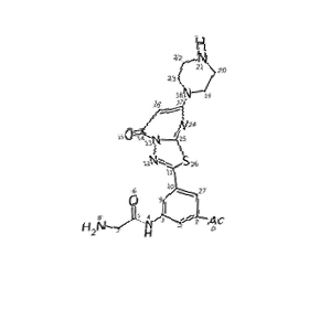 CC(=O)c1cc(NC(=O)CN)cc(-c2nn3c(=O)cc(N4CCNCC4)nc3s2)c1